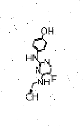 C#CCNc1nc(Nc2ccc(O)cc2)ncc1F